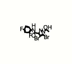 CC(O)n1nc(C(=O)Nc2ccc(F)cc2F)c(Br)c1Br